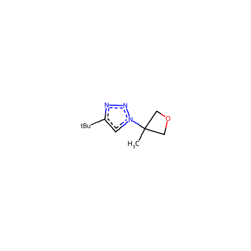 CC(C)(C)c1cn(C2(C)COC2)nn1